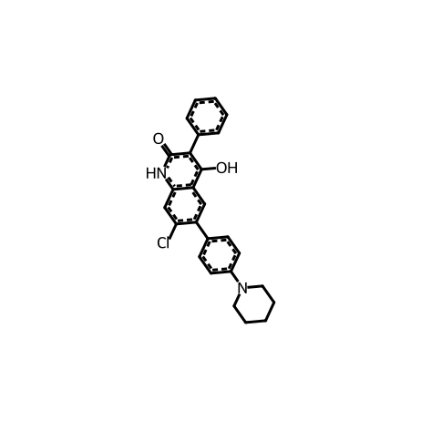 O=c1[nH]c2cc(Cl)c(-c3ccc(N4CCCCC4)cc3)cc2c(O)c1-c1ccccc1